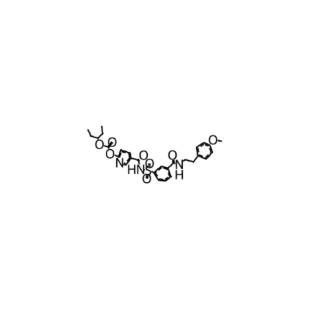 CCC(CC)OC(=O)Oc1ccc(C(=O)NS(=O)(=O)c2cccc(C(=O)NCCc3ccc(OC)cc3)c2)cn1